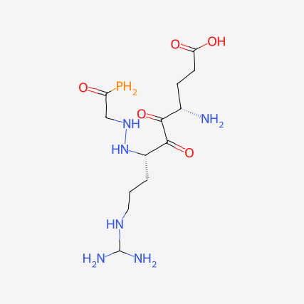 NC(N)NCCC[C@H](NNCC(=O)P)C(=O)C(=O)[C@@H](N)CCC(=O)O